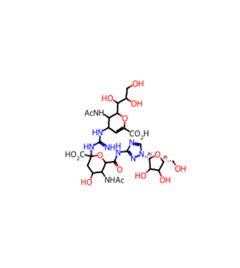 CC(=O)NC1C(O)CC(NC(=N)NC2C=C(C(=O)O)OC(C(O)C(O)CO)C2NC(C)=O)(C(=O)O)OC1C(=O)Nc1ncn([C@@H]2O[C@H](CO)C(O)C2O)n1